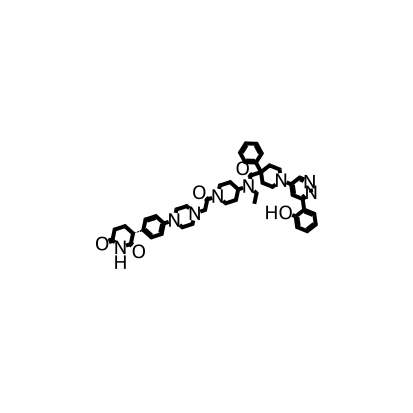 CCN(C(=O)C1(c2ccccc2)CCN(c2cnnc(-c3ccccc3O)c2)CC1)C1CCN(C(=O)CN2CCN(c3ccc([C@H]4CCC(=O)NC4=O)cc3)CC2)CC1